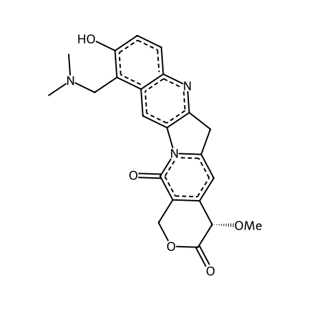 CO[C@@H]1C(=O)OCc2c1cc1n(c2=O)-c2cc3c(CN(C)C)c(O)ccc3nc2C1